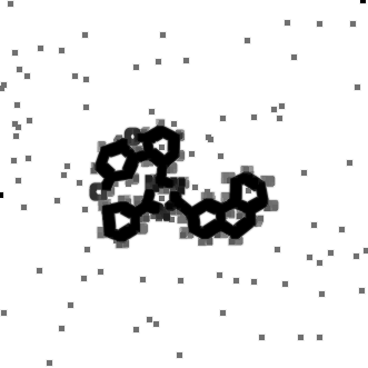 Clc1ccc2oc3cccc(-c4nc(-c5ccccc5)nc(-c5ccc6ccc7ccccc7c6c5)n4)c3c2c1